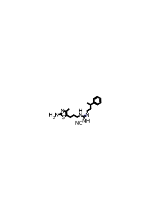 Cc1nc(N)sc1CCCN/C(=N\CCC(C)c1ccccc1)NC#N